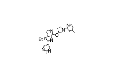 CCn1c(-c2cnc(C)nc2)nc2c(OC3CCN(c4cc(C)ccn4)C3)ncnc21